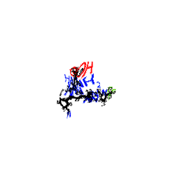 N#Cc1cccc(-c2cc(-c3cn(Cc4cccc(C(F)(F)F)n4)nn3)nc(N[C@H](N)C(=O)O)n2)c1